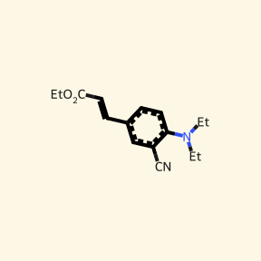 CCOC(=O)C=Cc1ccc(N(CC)CC)c(C#N)c1